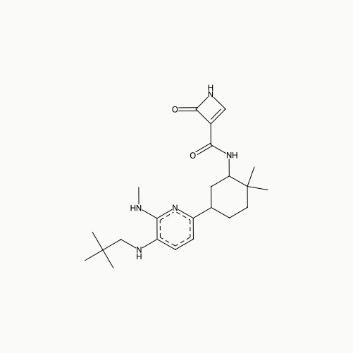 CNc1nc(C2CCC(C)(C)C(NC(=O)C3=CNC3=O)C2)ccc1NCC(C)(C)C